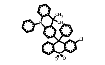 CC1(C)c2ccccc2N(c2ccccc2)c2ccc(C3(c4ccccc4)c4ccccc4S(=O)(=O)c4ccc(Cl)cc43)cc21